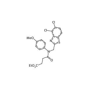 CCOC(=O)CCC(=O)N(Cc1nc2c(Cl)c(Cl)ccc2s1)c1ccc(OC)cc1